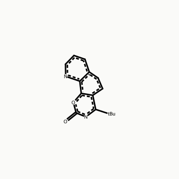 CC(C)(C)c1nc(=O)oc2c1ccc1cccnc12